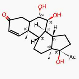 CC(=O)[C@@]1(O)CC[C@H]2[C@@H]3[C@H](O)[C@@H](O)C4CC(=O)C=C[C@]4(C)[C@H]3CC[C@@]21C